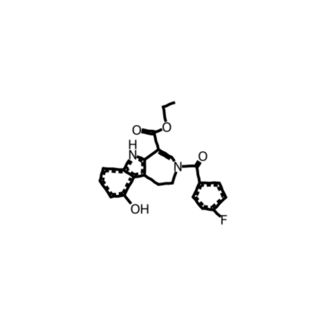 CCOC(=O)C1=CN(C(=O)c2ccc(F)cc2)CCc2c1[nH]c1cccc(O)c21